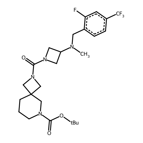 CN(Cc1ccc(C(F)(F)F)cc1F)C1CN(C(=O)N2CC3(CCCN(C(=O)OC(C)(C)C)C3)C2)C1